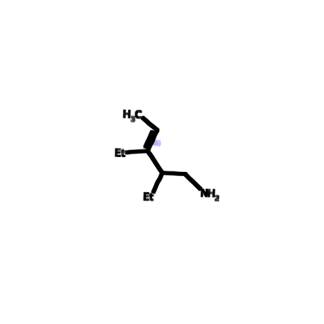 C/C=C(\CC)C(CC)CN